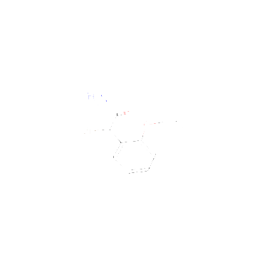 COc1ccccc1C(Br)C(N)=O